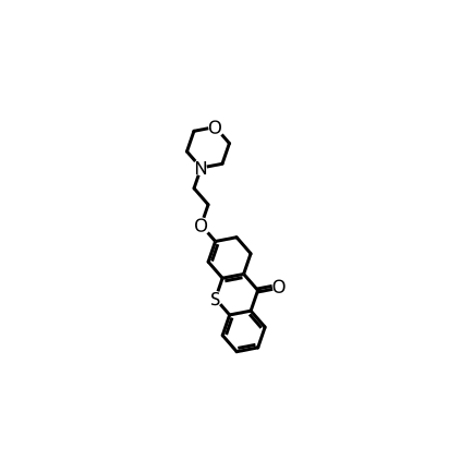 O=c1c2c(sc3ccccc13)C=C(OCCN1CCOCC1)CC2